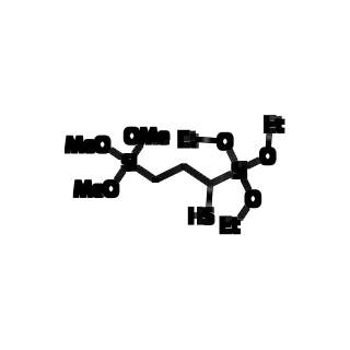 CCO[Si](OCC)(OCC)C(S)CC[Si](OC)(OC)OC